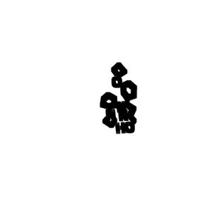 OCc1cc(-c2cccc(OC3CCC3)c2)n(-c2ccccc2N2CCC2)n1